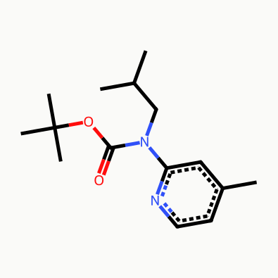 Cc1ccnc(N(CC(C)C)C(=O)OC(C)(C)C)c1